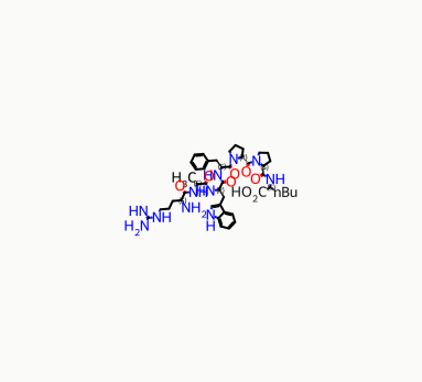 CCCC[C@H](NC(=O)[C@@H]1CCCN1C(=O)[C@H]1CCCN1C(=O)[C@H](Cc1ccccc1)NC(=O)[C@@H](Cc1c[nH]c2ccccc12)NC(=O)[C@H](C)NC(=O)[C@@H](N)CCCNC(=N)N)C(=O)O